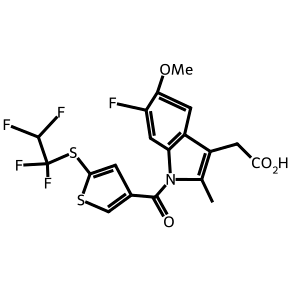 COc1cc2c(CC(=O)O)c(C)n(C(=O)c3csc(SC(F)(F)C(F)F)c3)c2cc1F